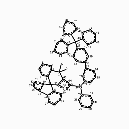 CC1(C)c2ccccc2C2(c3ccccc3-c3ccccc32)c2ccc(N(c3ccccc3)c3cccc(-c4ccc(C(c5ccccc5)(c5ccccc5)c5ccccc5)cc4)c3)cc21